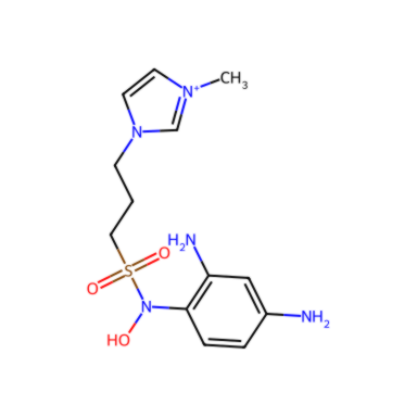 C[n+]1ccn(CCCS(=O)(=O)N(O)c2ccc(N)cc2N)c1